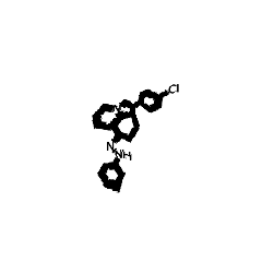 Clc1ccc(-c2cn3cccc4c3c2CCC4=NNc2ccccc2)cc1